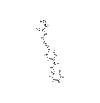 O=C(/C=C/C#Cc1ccc(NCc2ccccc2)cc1)NO